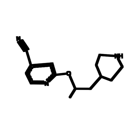 CC(CC1CCNCC1)Oc1cc(C#N)ccn1